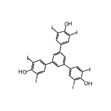 Oc1c(I)cc(-c2cc(-c3cc(I)c(O)c(I)c3)cc(-c3cc(I)c(O)c(I)c3)c2)cc1I